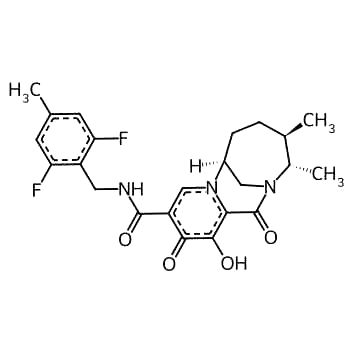 Cc1cc(F)c(CNC(=O)c2cn3c(c(O)c2=O)C(=O)N2C[C@@H]3CC[C@@H](C)[C@@H]2C)c(F)c1